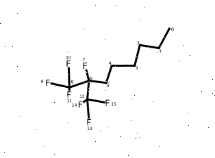 CCCCC[CH]C(F)(C(F)(F)F)C(F)(F)F